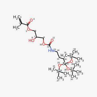 C=C(C)C(=O)OCC(O)COC(=O)NCCC[Si](O[Si](C)(C)C)(O[Si](C)(C)C)O[Si](C)(C)C